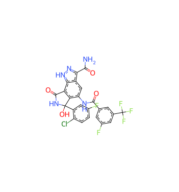 NC(=O)c1n[nH]c2c3c(c(NC(=O)c4cc(F)cc(C(F)(F)F)c4)cc12)C(O)(c1cc(F)ccc1Cl)NC3=O